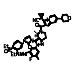 CCP(=O)(CC)c1ccc(-n2ccn(-c3c4c(nn3-c3cc(C)c(F)c(C)c3)CCN(C(=O)c3cc5cc(C6CCOCC6)ccn5c3C3(C#N)CC3)[C@H]4C)c2=O)cc1NC